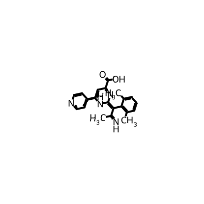 CC(=N)/C(=C1/N=C(C(=O)O)C=C(c2ccncc2)N1)c1c(C)cccc1C